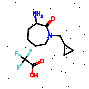 N[C@@H]1CCCCN(CC2CC2)C1=O.O=C(O)C(F)(F)F